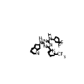 FC1(F)CCC(Nc2nc(NC3Cc4cccnc4C3)nc(-c3cccc(C(F)(F)F)n3)n2)C1